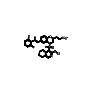 CCOc1ncc2c(c1S(=O)(=O)N1CC(CCC(=O)O)Oc3ccc(C=C(C)c4c(F)cccc4Cl)cc31)CCCC2